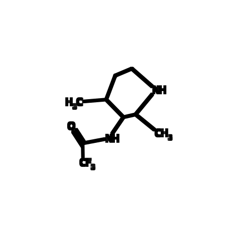 CC1CCNC(C)C1NC(=O)C(F)(F)F